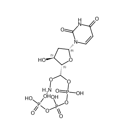 NOC(OP(=O)(O)OP(=O)(O)OP(=O)(O)O)[C@H]1O[C@@H](n2ccc(=O)[nH]c2=O)C[C@@H]1O